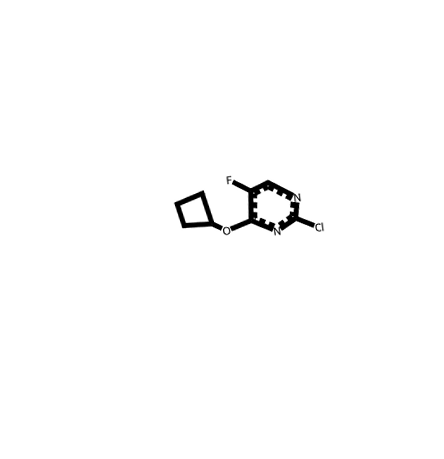 Fc1cnc(Cl)nc1OC1CCC1